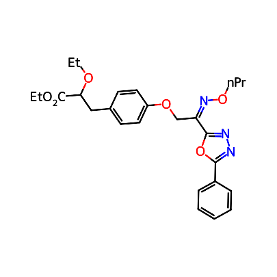 CCCON=C(COc1ccc(CC(OCC)C(=O)OCC)cc1)c1nnc(-c2ccccc2)o1